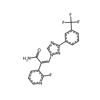 NC(=O)/C(=C\n1cnc(-c2cccc(C(F)(F)F)c2)n1)c1cccnc1F